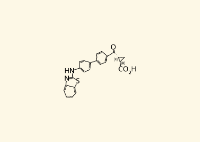 O=C(O)[C@@H]1C[C@H]1C(=O)c1ccc(-c2ccc(Nc3nc4ccccc4s3)cc2)cc1